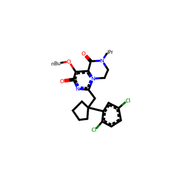 CCCCOc1c2n(c(CC3(c4cc(Cl)ccc4Cl)CCCC3)nc1=O)CCN(C(C)C)C2=O